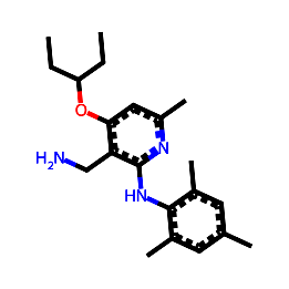 CCC(CC)Oc1cc(C)nc(Nc2c(C)cc(C)cc2C)c1CN